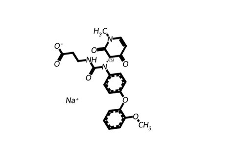 COc1ccccc1Oc1ccc(N(C(=O)NCCC(=O)[O-])[C@H]2C(=O)C=CN(C)C2=O)cc1.[Na+]